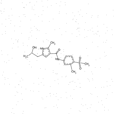 Cc1cc(NC(=O)c2cc(CC(C)O)[nH]c2C)ccc1S(C)(=O)=O